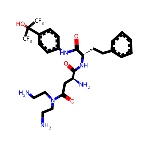 NCCN(CCN)C(=O)C[C@H](N)C(=O)N[C@@H](CCc1ccccc1)C(=O)Nc1ccc(C(O)(C(F)(F)F)C(F)(F)F)cc1